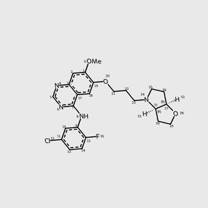 COc1cc2ncnc(Nc3cc(Cl)ccc3F)c2cc1OCCCN1CC[C@H]2OCC[C@H]21